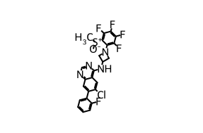 C[S+]([O-])c1c(F)c(F)c(F)c(F)c1N1CC(Nc2ncnc3cc(-c4ccccc4F)c(Cl)cc23)C1